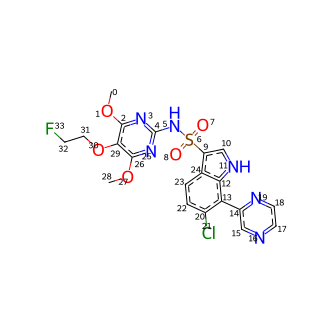 COc1nc(NS(=O)(=O)c2c[nH]c3c(-c4cnccn4)c(Cl)ccc23)nc(OC)c1OCCF